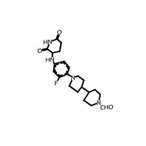 O=CN1CCC(C2CCN(c3ccc(NC4CCC(=O)NC4=O)cc3F)CC2)CC1